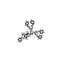 O=C(O)Oc1cc(C(=O)NC(COC(COCc2ccccc2)COCc2ccccc2)COC(COCc2ccccc2)COCc2ccccc2)[nH]c(=O)c1OCc1ccccc1